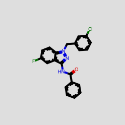 O=C(Nc1nn(Cc2cccc(Cl)c2)c2ccc(F)cc12)c1ccccc1